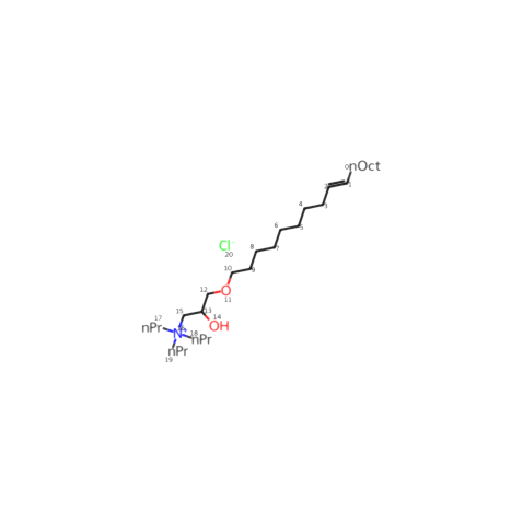 CCCCCCCCC=CCCCCCCCCOCC(O)C[N+](CCC)(CCC)CCC.[Cl-]